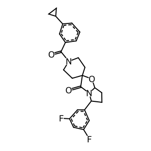 O=C(c1cccc(C2CC2)c1)N1CCC2(CC1)OC1CCC(c3cc(F)cc(F)c3)N1C2=O